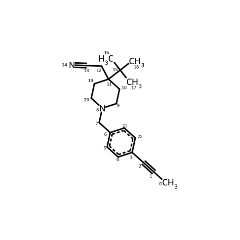 CC#Cc1ccc(CN2CCC(CC#N)(C(C)(C)C)CC2)cc1